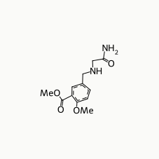 COC(=O)c1cc(CNCC(N)=O)ccc1OC